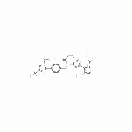 Cc1cnn(C(C)C)c1-c1cc2n(n1)CCC(=O)N2Cc1ccc(-c2nc(C(F)(F)F)cn2C(C)C)cc1